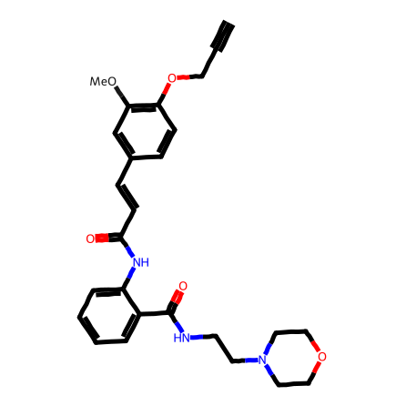 C#CCOc1ccc(/C=C/C(=O)Nc2ccccc2C(=O)NCCN2CCOCC2)cc1OC